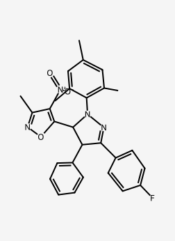 Cc1cc(C)c(N2N=C(c3ccc(F)cc3)C(c3ccccc3)C2c2onc(C)c2[N+](=O)[O-])c(C)c1